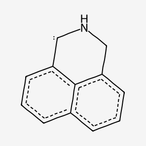 [C]1NCc2cccc3cccc1c23